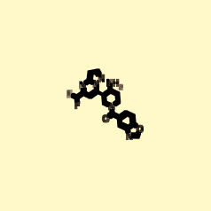 NC1CCN(C(=O)c2ccc3ocnc3c2)C[C@H]1c1cc(C(F)F)nc2ccnn12